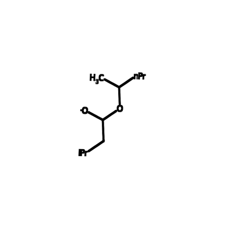 CCCC(C)OC([O])CC(C)C